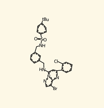 CC(C)(C)c1ccc(S(=O)(=O)NCc2cccc(CNc3cc(-c4ccccc4Cl)nc4c(Br)cnn34)c2)cc1